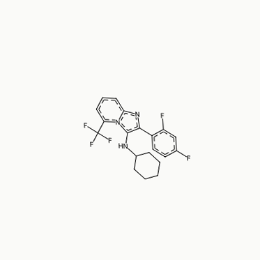 Fc1ccc(-c2nc3cccc(C(F)(F)F)n3c2NC2CCCCC2)c(F)c1